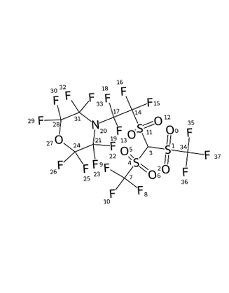 O=S(=O)(C(S(=O)(=O)C(F)(F)F)S(=O)(=O)C(F)(F)C(F)(F)N1C(F)(F)C(F)(F)OC(F)(F)C1(F)F)C(F)(F)F